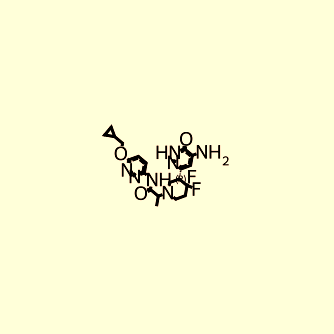 CC(C(=O)Nc1ccc(OCC2CC2)nn1)N1CCC(F)(F)[C@@H](c2cc(N)c(=O)[nH]n2)C1